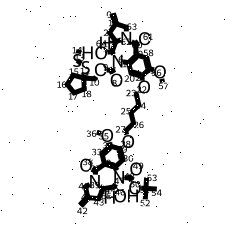 C=C1C[C@H]2C(O)N(C(=O)OCC3(SSC)CCCC3)c3cc(OCCCCCOc4cc5c(cc4OC)C(=O)N4CC(=C)C[C@H]4C(O)N5C(=O)OC(C)(C)C)c(OC)cc3C(=O)N2C1